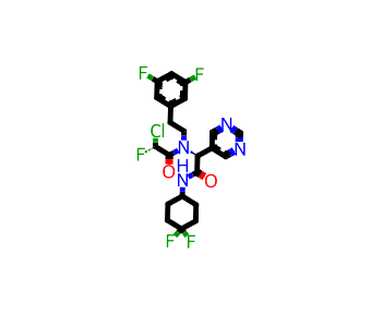 O=C(NC1CCC(F)(F)CC1)[C@@H](c1cncnc1)N(CCc1cc(F)cc(F)c1)C(=O)[C@H](F)Cl